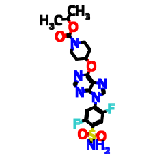 CC(C)OC(=O)N1CCC(Oc2ncnc3c2ncn3-c2cc(F)c(S(N)(=O)=O)cc2F)CC1